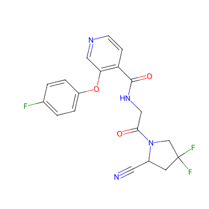 N#CC1CC(F)(F)CN1C(=O)CNC(=O)c1ccncc1Oc1ccc(F)cc1